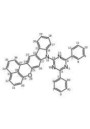 c1ccc(-c2nc(-c3ccccc3)nc(-n3c4ccccc4c4cc5c(cc43)Oc3cccc4cccc-5c34)n2)cc1